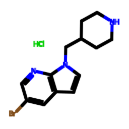 Brc1cnc2c(ccn2CC2CCNCC2)c1.Cl